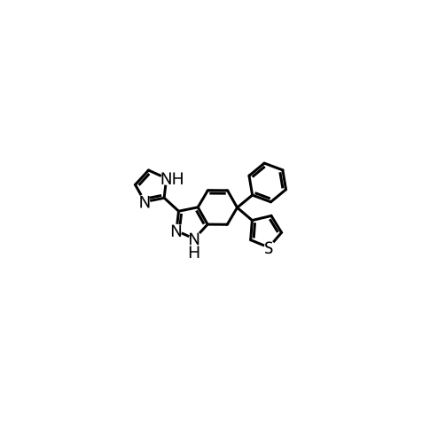 C1=CC(c2ccccc2)(c2ccsc2)Cc2[nH]nc(-c3ncc[nH]3)c21